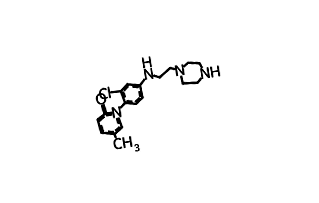 Cc1ccc(=O)n(-c2ccc(NCCN3CCNCC3)cc2Cl)c1